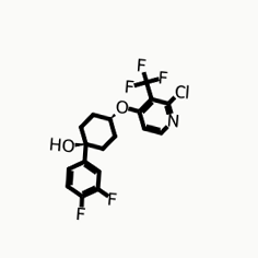 O[C@]1(c2ccc(F)c(F)c2)CC[C@@H](Oc2ccnc(Cl)c2C(F)(F)F)CC1